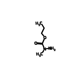 CCCOC(=O)N(C)N